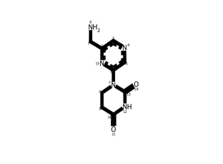 NCc1cncc(N2CCC(=O)NC2=O)n1